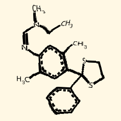 CCN(C)/C=N\c1cc(C)c(C2(c3ccccc3)SCCS2)cc1C